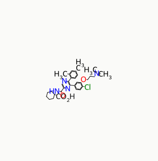 Cc1ccc(-c2ncc(C(=O)NC3(C(=O)O)CCCCC3)nc2-c2ccc(Cl)c(OCCCN(C)C)c2)c(C)c1